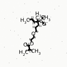 C=C(C)C(=O)OCCOCCCC(C)(C=CC)[S+](C)[O-]